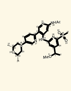 COC(C)c1cc(Nc2cc(NC(C)=O)ncc2-c2ccc(N3C[C@@H](C)O[C@@H](C)C3)cn2)nc(S(C)(=O)=O)c1